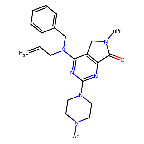 C=CCN(Cc1ccccc1)c1nc(N2CCN(C(C)=O)CC2)nc2c1CN(CCC)C2=O